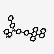 c1ccc(-c2ccc(N(c3ccc(-c4ccc(-c5c6ccccc6c(-c6cccc7ccccc67)c6ccccc56)cc4)cc3)c3ccnc4ccccc34)cc2)cc1